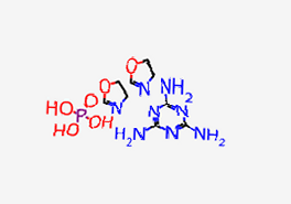 C1=NCCO1.C1=NCCO1.Nc1nc(N)nc(N)n1.O=P(O)(O)O